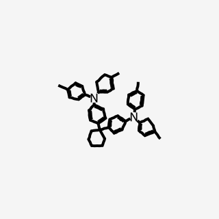 CC1=CC=C(N(c2ccc(C)cc2)c2ccc(C3(c4ccc(N(C5=CC=C(C)CC5)c5ccc(C)cc5)cc4)CCCCC3)cc2)CC1